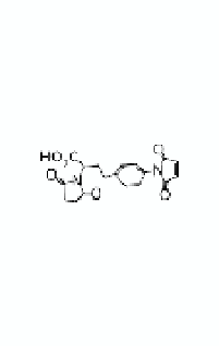 O=C(O)C(CCc1ccc(N2C(=O)C=CC2=O)cc1)N1C(=O)CCC1=O